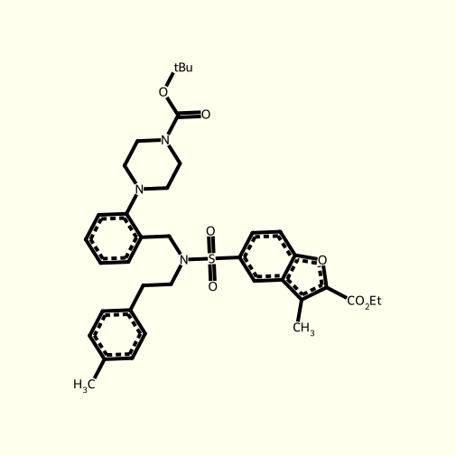 CCOC(=O)c1oc2ccc(S(=O)(=O)N(CCc3ccc(C)cc3)Cc3ccccc3N3CCN(C(=O)OC(C)(C)C)CC3)cc2c1C